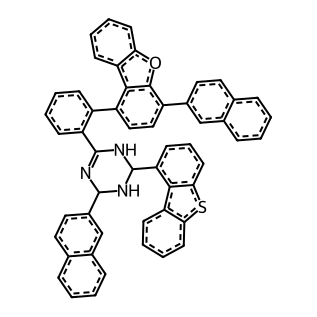 c1ccc(-c2ccc(-c3ccc4ccccc4c3)c3oc4ccccc4c23)c(C2=NC(c3ccc4ccccc4c3)NC(c3cccc4sc5ccccc5c34)N2)c1